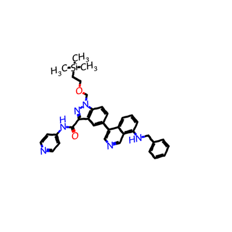 C[Si](C)(C)CCOCn1nc(C(=O)Nc2ccncc2)c2cc(-c3cncc4c(NCc5ccccc5)cccc34)ccc21